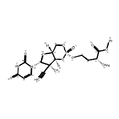 C#C[C@]1(C)[C@@H]2O[P@@](=O)(OCC[C@@H](OC)C(=O)OC(C)C)OC[C@H]2O[C@H]1n1ccc(=O)[nH]c1=O